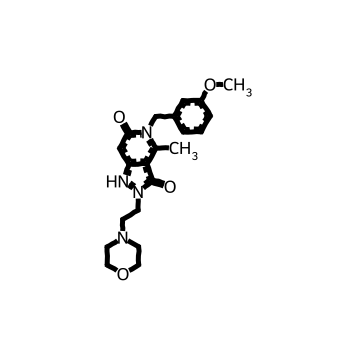 COc1cccc(Cn2c(C)c3c(=O)n(CCN4CCOCC4)[nH]c3cc2=O)c1